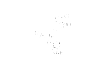 CCC(Oc1cccc2[nH]ccc12)N1CCC(c2c[nH]c3c(Cl)cccc23)CC1